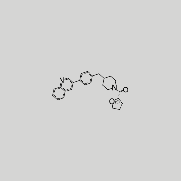 O=C([C@@H]1CCCO1)N1CCC(Cc2ccc(-c3cnc4ccccc4c3)cc2)CC1